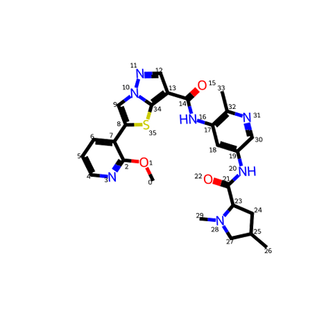 COc1ncccc1-c1cn2ncc(C(=O)Nc3cc(NC(=O)C4CC(C)CN4C)cnc3C)c2s1